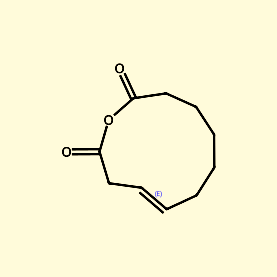 O=C1C/C=C/CCCCCC(=O)O1